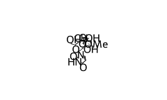 COP(=O)(O)O[C@H](C)[C@H](CO)O[C@@H](CO)n1ccc(=O)[nH]c1=O